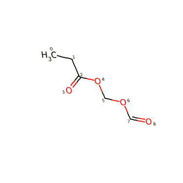 CCC(=O)OCOC=O